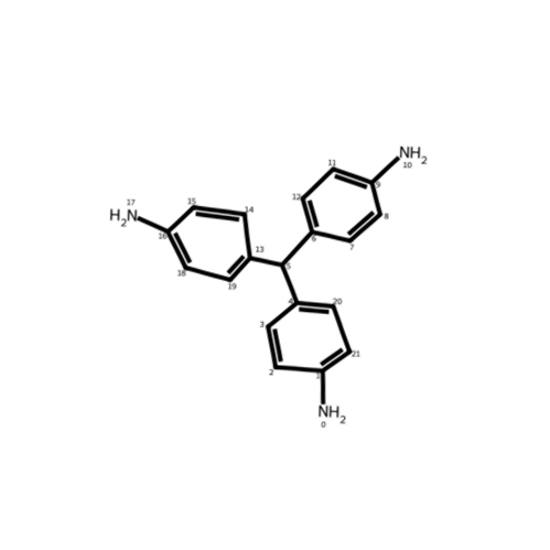 Nc1ccc([C](c2ccc(N)cc2)c2ccc(N)cc2)cc1